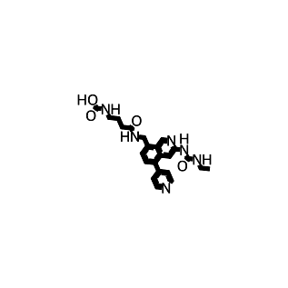 CCNC(=O)Nc1cc2c(-c3ccncc3)ccc(CNC(=O)CCCNC(=O)O)c2cn1